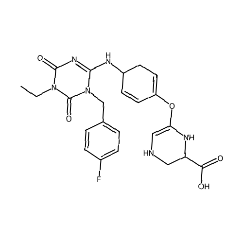 CCn1c(=O)nc(NC2C=CC(OC3=CNCC(C(=O)O)N3)=CC2)n(Cc2ccc(F)cc2)c1=O